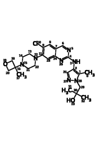 Cc1c(Nc2ncc3cc(Cl)c(N4CCN(C5(C)COC5)CC4)cc3n2)cnn1CC(C)(C)O